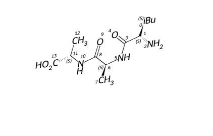 CC[C@H](C)[C@H](N)C(=O)N[C@@H](C)C(=O)N[C@@H](C)C(=O)O